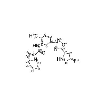 Cc1ccc(-c2noc([C@H]3C[C@@H](F)CN3)n2)cc1NC(=O)c1cnc2ccccn12